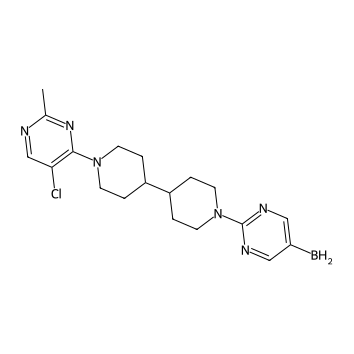 Bc1cnc(N2CCC(C3CCN(c4nc(C)ncc4Cl)CC3)CC2)nc1